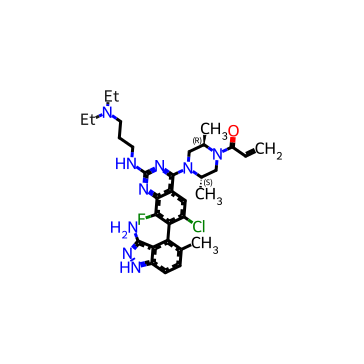 C=CC(=O)N1C[C@H](C)N(c2nc(NCCCN(CC)CC)nc3c(F)c(-c4c(C)ccc5[nH]nc(N)c45)c(Cl)cc23)C[C@H]1C